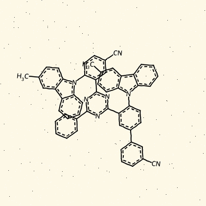 Cc1ccc2c(c1)c1ccccc1n2-c1ccc(C#N)cc1-c1nc(-c2ccccc2)nc(-c2cc(-c3cccc(C#N)c3)ccc2-n2c3ccccc3c3cc(C)ccc32)n1